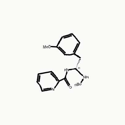 CCCCN[C@@H](Cc1cccc(OC)c1)NC(=O)c1ccccn1